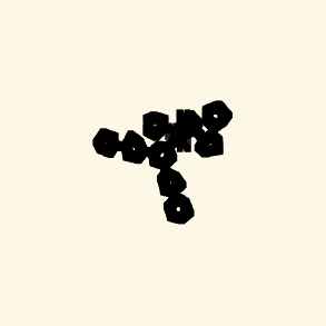 c1ccc(-c2ccc(-c3cc(-c4ccc(-c5ccccc5)cc4)cc(-c4nc5c(-c6ccccc6-c6ccccc6)ccnc5n4-c4ccccc4)c3)cc2)cc1